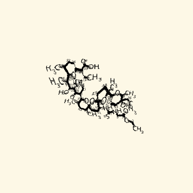 CCOC(=O)CNC(=S)N[C@@H]1C=C[C@]2(O[C@H](C(CC)C(=O)[C@@H](C)[C@@H](O)[C@H](C)[C@@H]3O[C@@H]([C@@H](CC)C(=O)O)CC[C@@H]3C)[C@@H](C)C[C@H]2C)O[C@@]12CC[C@@](C)([C@H]1CC[C@](O)(CC)[C@H](C)O1)O2